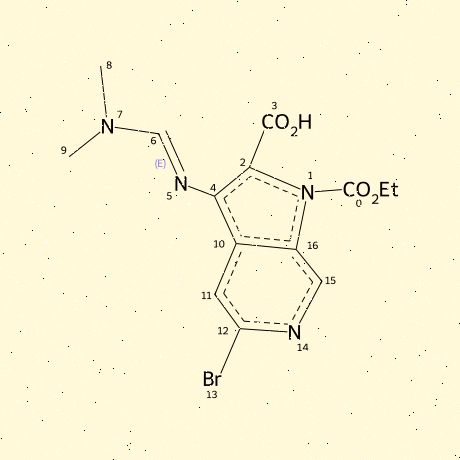 CCOC(=O)n1c(C(=O)O)c(/N=C/N(C)C)c2cc(Br)ncc21